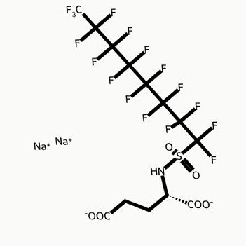 O=C([O-])CC[C@H](NS(=O)(=O)C(F)(F)C(F)(F)C(F)(F)C(F)(F)C(F)(F)C(F)(F)C(F)(F)C(F)(F)F)C(=O)[O-].[Na+].[Na+]